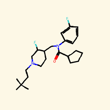 CC(C)(C)CCN1CCC(CN(C(=O)C2CCCC2)c2cccc(F)c2)C(F)C1